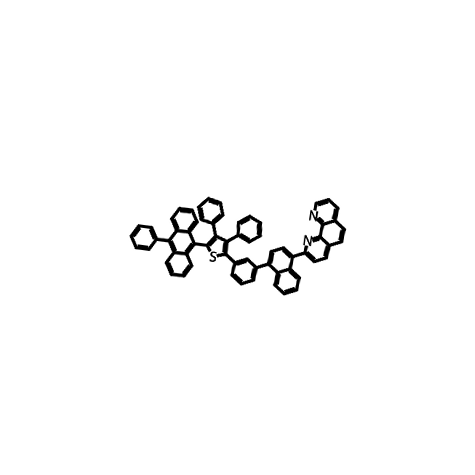 c1ccc(-c2c(-c3cccc(-c4ccc(-c5ccc6ccc7cccnc7c6n5)c5ccccc45)c3)sc(-c3c4ccccc4c(-c4ccccc4)c4ccccc34)c2-c2ccccc2)cc1